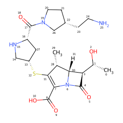 C[C@@H](O)[C@H]1C(=O)N2C(C(=O)O)=C(S[C@@H]3CN[C@H](C(=O)N4CC[C@H](CCN)C4)C3)[C@H](C)[C@H]12